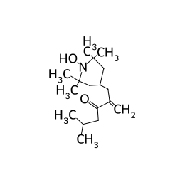 C=C(CC1CC(C)(C)N(O)C(C)(C)C1)C(=O)CC(C)C